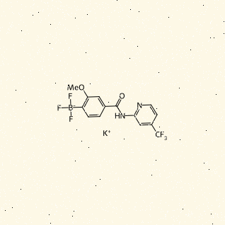 COc1cc(C(=O)Nc2cc(C(F)(F)F)ccn2)ccc1[B-](F)(F)F.[K+]